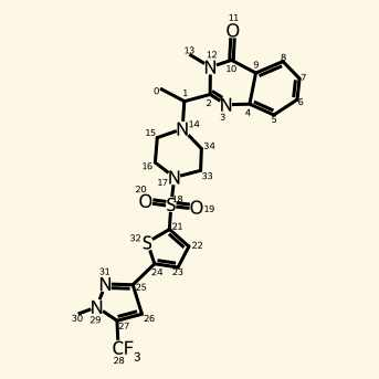 CC(c1nc2ccccc2c(=O)n1C)N1CCN(S(=O)(=O)c2ccc(-c3cc(C(F)(F)F)n(C)n3)s2)CC1